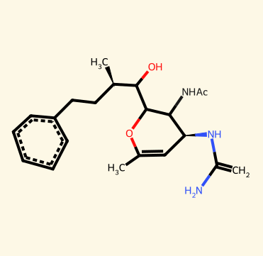 C=C(N)N[C@H]1C=C(C)OC(C(O)[C@H](C)CCc2ccccc2)C1NC(C)=O